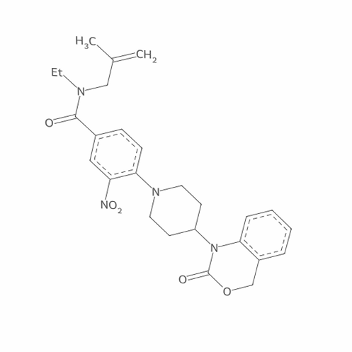 C=C(C)CN(CC)C(=O)c1ccc(N2CCC(N3C(=O)OCc4ccccc43)CC2)c([N+](=O)[O-])c1